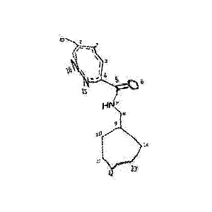 Cc1ccc(C(=O)NCC2CCCCC2)nn1